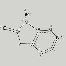 CC(C)N1C(=O)Cc2ccnnc21